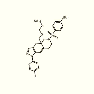 COCCOCC12Cc3cnn(-c4ccc(F)cc4)c3C=C1CCN(S(=O)(=O)c1ccc(C(C)(C)C)cc1)C2